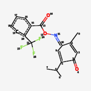 CC1=CC(=O)C(C(C)C)=C/C1=N\OC(=O)c1ccccc1C(F)(F)F